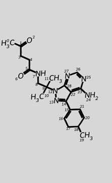 CC(=O)CCC(=O)NCC(C)(C)n1nc(C2=CCC(C)C=C2)c2c(N)ncnc21